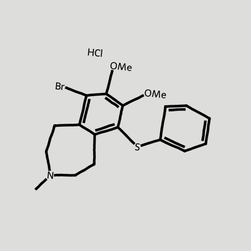 COc1c(Br)c2c(c(Sc3ccccc3)c1OC)CCN(C)CC2.Cl